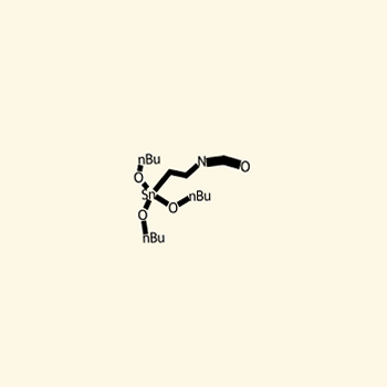 CCCC[O][Sn]([CH2]CN=C=O)([O]CCCC)[O]CCCC